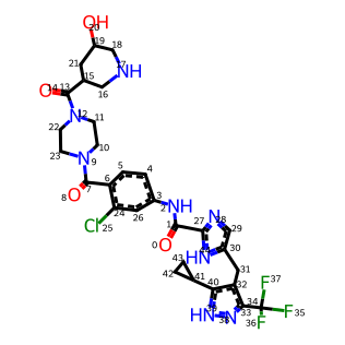 O=C(Nc1ccc(C(=O)N2CCN(C(=O)C3CNCC(O)C3)CC2)c(Cl)c1)c1ncc(Cc2c(C(F)(F)F)n[nH]c2C2CC2)[nH]1